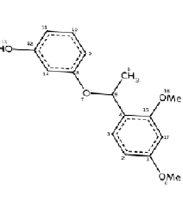 COc1ccc(C(C)Oc2c[c]cc(O)c2)c(OC)c1